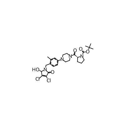 Cc1cc(N2CCN(C(=O)[C@@H]3CCCN3C(=O)OC(C)(C)C)CC2)ccc1CN1C(=O)C(Cl)=C(Cl)C1O